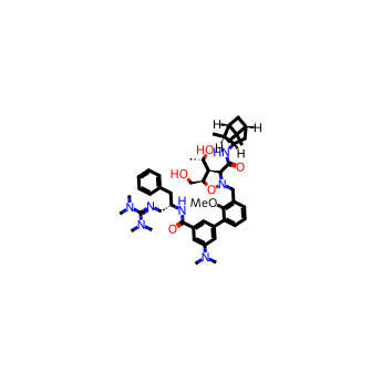 COc1c(CN2O[C@@H](CO)[C@@H]([C@H](C)O)C2C(=O)N[C@H]2C[C@H]3C[C@@H]([C@@H]2C)C3(C)C)cccc1-c1cc(C(=O)N[C@H](CN=C(N(C)C)N(C)C)Cc2ccccc2)cc(N(C)C)c1